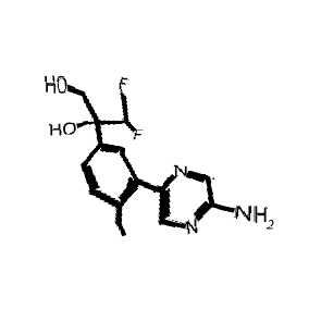 Cc1ccc([C@](O)(CO)C(F)F)cc1-c1cnc(N)[c]n1